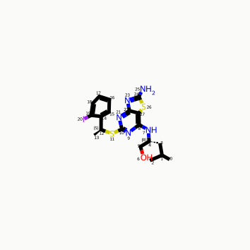 CC(C)C[C@H](CO)Nc1nc(S[C@@H](C)c2ccccc2I)nc2nc(N)sc12